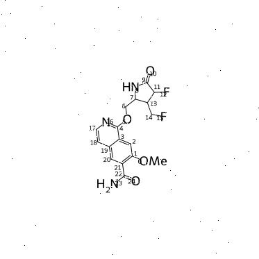 COc1cc2c(OCC3NC(=O)C(F)C3CF)nccc2cc1C(N)=O